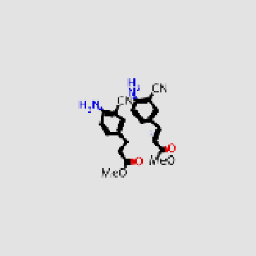 COC(=O)/C=C/c1ccc(N)c(C#N)c1.COC(=O)CCc1ccc(N)c(C#N)c1